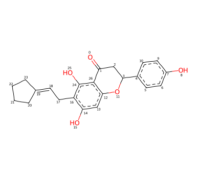 O=C1CC(c2ccc(O)cc2)Oc2cc(O)c(CC=C3CCCC3)c(O)c21